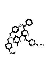 COc1ccc(CN(Cc2ccc(OC)cc2)c2nc(C)nc(-c3cc(Cc4ccccc4)cnc3Nc3ccc(OC)nc3)n2)cc1